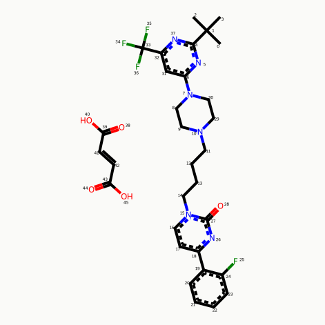 CC(C)(C)c1nc(N2CCN(CCCCn3ccc(-c4ccccc4F)nc3=O)CC2)cc(C(F)(F)F)n1.O=C(O)C=CC(=O)O